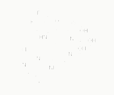 O=c1c2c(c3cc(Nc4nc(Cl)ncc4Cl)cnc3n1C(O)(O)O)NCC(F)(F)CO2